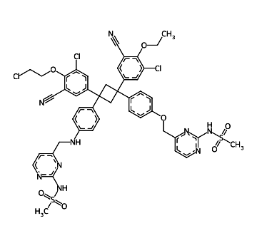 CCOc1c(Cl)cc(C2(c3ccc(OCc4ccnc(NS(C)(=O)=O)n4)cc3)CC(c3ccc(NCc4ccnc(NS(C)(=O)=O)n4)cc3)(c3cc(Cl)c(OCCCl)c(C#N)c3)C2)cc1C#N